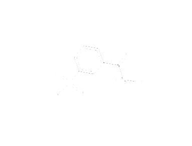 CS(=O)(=O)c1cccc(C(=O)NBr)c1